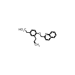 C=CCc1cc(CC(=O)O)ccc1OCc1ccc2ccccc2n1